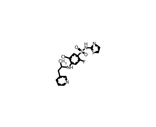 CC(Cc1cccnc1)Nc1cc(F)c(S(=O)(=O)Nc2nccs2)cc1Cl